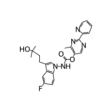 Cc1nc(-c2ccccn2)ncc1OC(=O)Nn1cc(CCC(C)(C)O)c2cc(F)ccc21